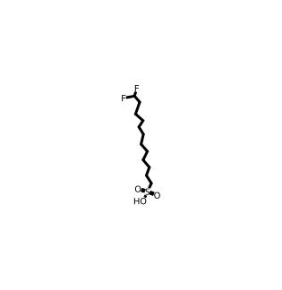 O=S(=O)(O)CCCCCCCCCCCC(F)F